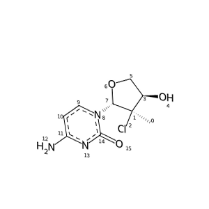 C[C@@]1(Cl)[C@H](O)CO[C@H]1n1ccc(N)nc1=O